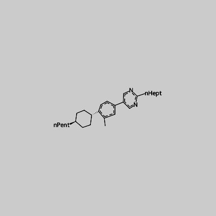 CCCCCCCc1ncc(-c2ccc([C@H]3CC[C@H](CCCCC)CC3)c(C)c2)cn1